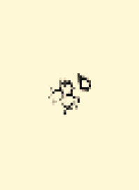 CC(=O)Nn1c(N(C)C)nccc1=O.c1cc2cc-2c1